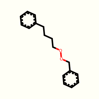 c1ccc(CCCCOOCc2ccccc2)cc1